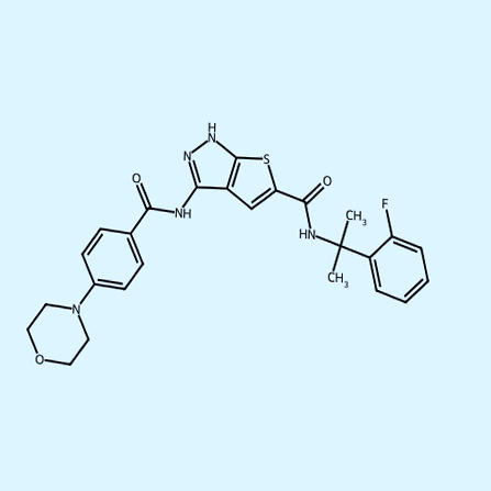 CC(C)(NC(=O)c1cc2c(NC(=O)c3ccc(N4CCOCC4)cc3)n[nH]c2s1)c1ccccc1F